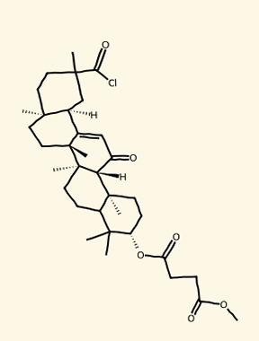 COC(=O)CCC(=O)O[C@H]1CC[C@@]2(C)C(CC[C@]3(C)[C@@H]2C(=O)C=C2[C@@H]4CC(C)(C(=O)Cl)CC[C@]4(C)CC[C@]23C)C1(C)C